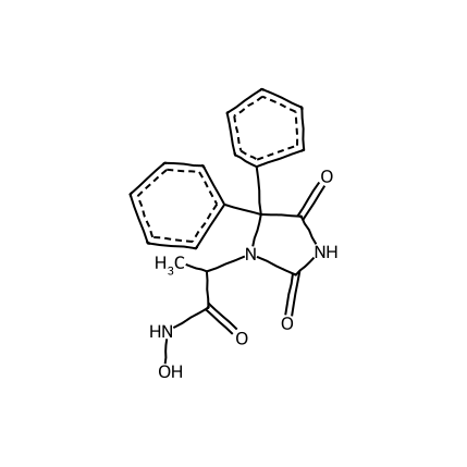 CC(C(=O)NO)N1C(=O)NC(=O)C1(c1ccccc1)c1ccccc1